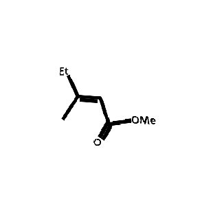 CCC(C)=CC(=O)OC